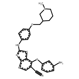 Bc1cccc(Sc2c(C#N)cnc3nc(Nc4ccc(OCC5CCCN(C)C5)cc4)sc23)c1